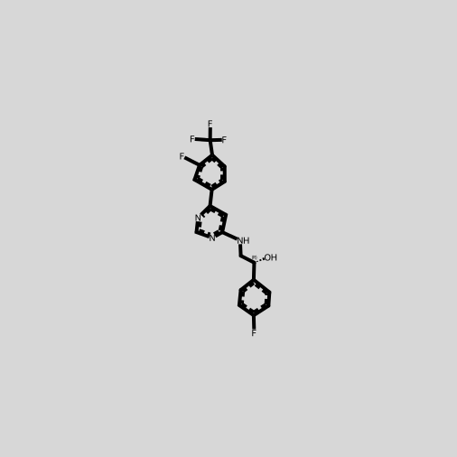 O[C@@H](CNc1cc(-c2ccc(C(F)(F)F)c(F)c2)ncn1)c1ccc(F)cc1